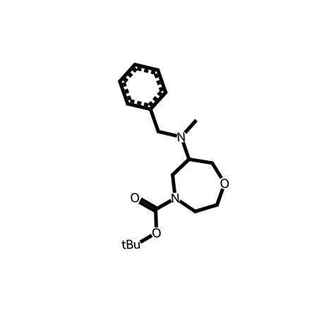 CN(Cc1ccccc1)C1COCCN(C(=O)OC(C)(C)C)C1